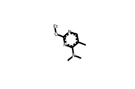 CCOc1ncc(C)c(N(C)C)n1